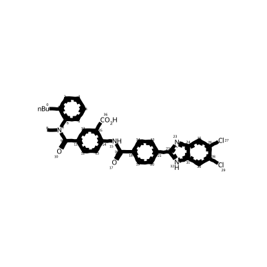 CCCCc1ccccc1N(C)C(=O)c1ccc(NC(=O)c2ccc(-c3nc4cc(Cl)c(Cl)cc4[nH]3)cc2)c(C(=O)O)c1